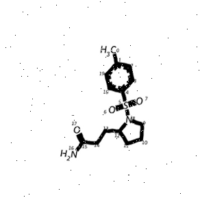 Cc1ccc(S(=O)(=O)N2CCCC2CCC(N)=O)cc1